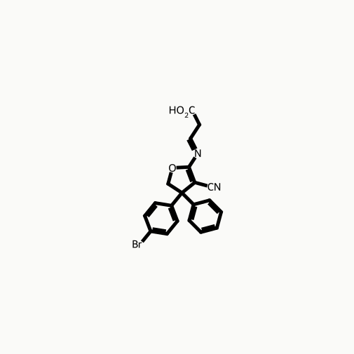 N#CC1=C(N=CCC(=O)O)OCC1(c1ccccc1)c1ccc(Br)cc1